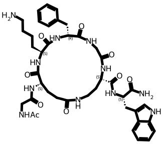 CC(=O)NCC(=O)N[C@H]1CCC(=O)NCC[C@@H](C(=O)N[C@@H](Cc2c[nH]c3ccccc23)C(N)=O)NC(=O)CNC(=O)[C@@H](Cc2ccccc2)NC(=O)[C@H](CCCCN)NC1=O